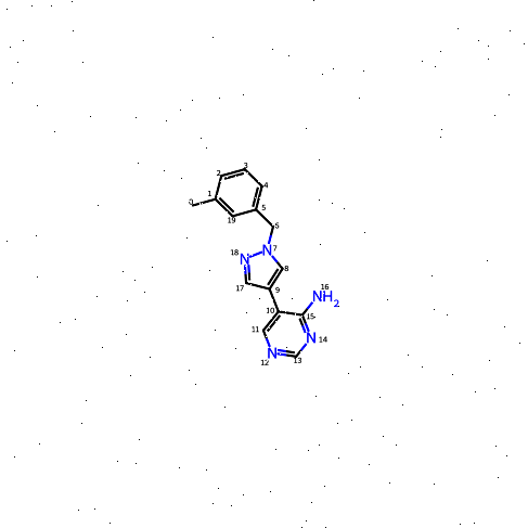 Cc1cccc(Cn2cc(-c3cncnc3N)cn2)c1